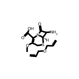 C=CCOCC=C.COC1=C(C(=O)O)N2C(=O)C(N)[C@H]2SC1